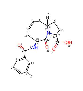 Cc1cccc(C(=O)N[C@H]2CC=CC[C@@H]3CC[C@@H](C(=O)O)N3C2=O)c1